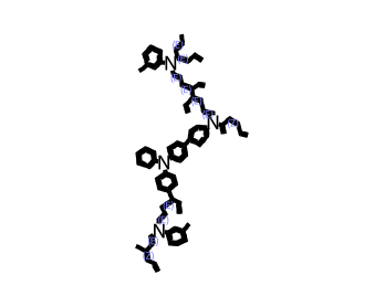 C=C/C=C\C(=C)N(/C=C/C=C(C=C)/C(C=C)=C/C=C/N(C(/C=C/C)=C/C=C)c1cccc(C)c1)c1ccc(-c2ccc(N(c3ccccc3)c3ccc(/C(C=C)=C/C=C/N(/C=C/C(C)=C\C=C)c4cccc(C)c4)cc3)cc2)cc1